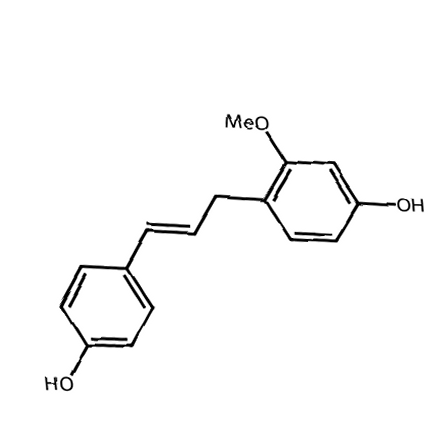 COc1cc(O)ccc1C/C=C/c1ccc(O)cc1